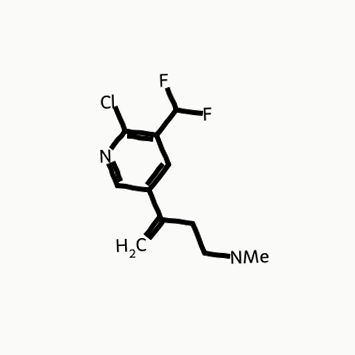 C=C(CCNC)c1cnc(Cl)c(C(F)F)c1